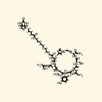 C=C1N[C@@H](CC(C)C)C(=O)N[C@H](C(N)=O)CCCCn2cc(nn2)C[C@H](NC(=O)COCCOCCOCCNC(=O)CCCC[C@@H]2SC[C@@H]3NC(=O)N[C@@H]32)C(=O)N[C@@H](CCCNC(=N)N)C(=O)N[C@@H](CO)C(=O)N[C@@H](Cc2ccc(O)cc2)C(=O)N[C@H]1CC(N)=O